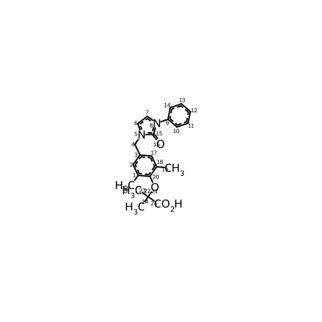 Cc1cc(Cn2ccn(-c3ccccc3)c2=O)cc(C)c1OC(C)(C)C(=O)O